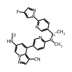 CCNc1cc(-c2ccc(N(C)[C@@H](C)c3ccc(-n4cc(F)cn4)nc3)nc2)c2c(C#N)cnn2c1